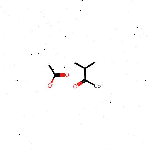 CC(=O)[O-].CC(C)[C](=O)[Co+]